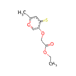 CCOC(=O)COc1coc(C)cc1=S